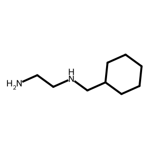 NCCNCC1CCCCC1